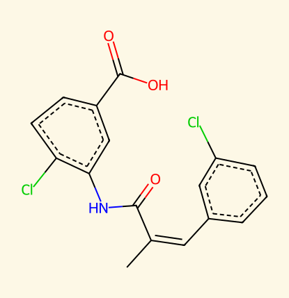 CC(=Cc1cccc(Cl)c1)C(=O)Nc1cc(C(=O)O)ccc1Cl